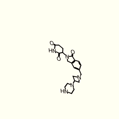 O=C1CCC(N2Cc3cc(CN4CC(N5CCNCC5)C4)ccc3C2=O)C(=O)N1